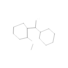 COC1CCCCC1C(O)C1CCCCC1